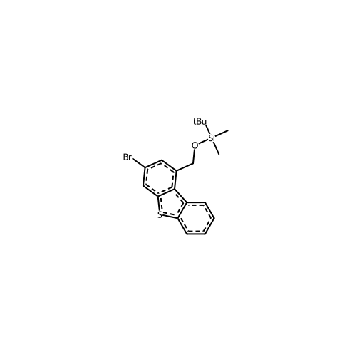 CC(C)(C)[Si](C)(C)OCc1cc(Br)cc2sc3ccccc3c12